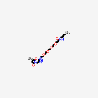 CC(C)(C)CCCCNC(=O)CCOCCOCCOCCOCCn1cc(CN2C(=O)CC(C(C)(C)C)C2=O)nn1